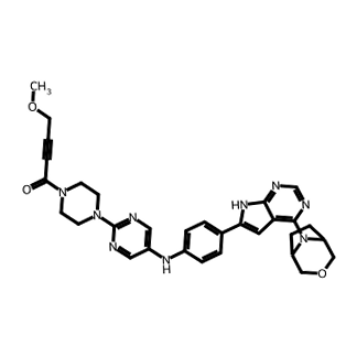 COCC#CC(=O)N1CCN(c2ncc(Nc3ccc(-c4cc5c(N6C7CCC6COC7)ncnc5[nH]4)cc3)cn2)CC1